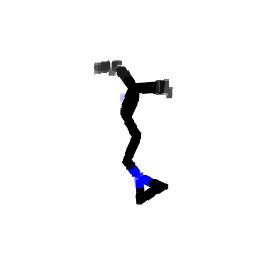 C/C(=C\CCN1CC1)C(=O)O